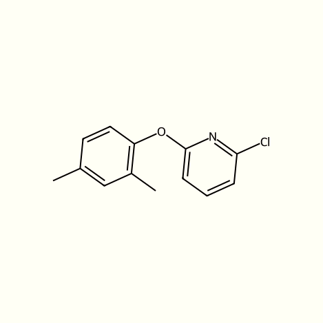 Cc1ccc(Oc2cccc(Cl)n2)c(C)c1